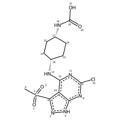 CS(=O)(=O)c1n[nH]c2nc(Cl)nc(N[C@H]3CC[C@@H](NC(=O)O)CC3)c12